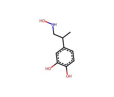 CC(CNO)c1ccc(O)c(O)c1